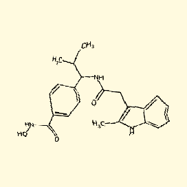 Cc1[nH]c2ccccc2c1CC(=O)NC(c1ccc(C(=O)NO)cc1)C(C)C